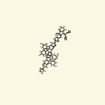 Cc1ccc(C2(c3ccc(C)cc3)c3cc4cc(-c5cccs5)sc4cc3-c3sc4c5c(sc4c32)-c2cc3sc(-c4ccc(/C=C6\C(=O)c7ccccc7C6=C(C#N)C#N)s4)cc3cc2C5(c2ccc(C)cc2)c2ccc(C)cc2)cc1